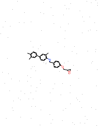 Cc1ccc(-c2ccc(N=Cc3ccc(OCC4CO4)cc3)c(C)c2)cc1C